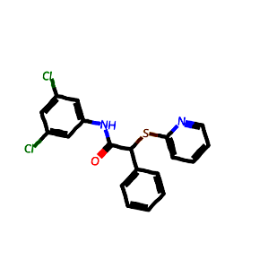 O=C(Nc1cc(Cl)cc(Cl)c1)C(Sc1ccccn1)c1ccccc1